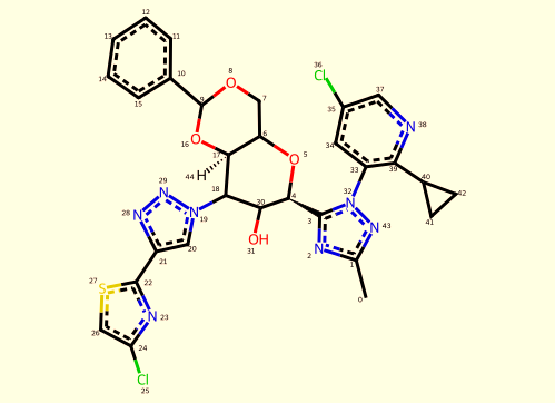 Cc1nc([C@@H]2OC3COC(c4ccccc4)O[C@@H]3C(n3cc(-c4nc(Cl)cs4)nn3)C2O)n(-c2cc(Cl)cnc2C2CC2)n1